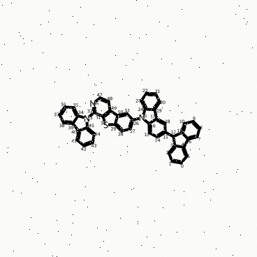 c1ccc2c(c1)-c1ccccc1C2c1ccc2c(c1)c1ccccc1n2-c1ccc2sc3c(-n4c5ccccc5c5ccccc54)nccc3c2c1